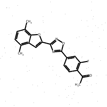 CC(=O)c1ccc(-c2nc(-c3cc4c(C)ccc(C)c4o3)no2)cc1F